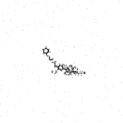 CNC1(NC)OC[C@](NC)(c2ncc(-c3ccc(OCCCCCCc4ccccc4)c(C(F)(F)F)c3)s2)N1C(=O)O